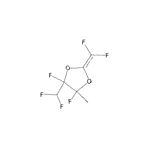 CC1(F)OC(=C(F)F)OC1(F)C(F)F